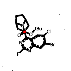 CC(C)(C)OC(=O)N1C2CCC1CN(c1nc(F)nc3cc(Br)c(Cl)cc13)C2